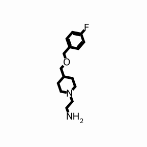 NCCN1CCC(COCc2ccc(F)cc2)CC1